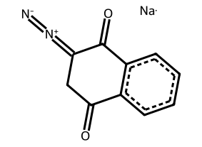 [N-]=[N+]=C1CC(=O)c2ccccc2C1=O.[Na]